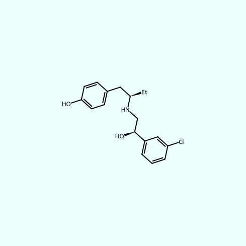 CC[C@H](Cc1ccc(O)cc1)NC[C@H](O)c1cccc(Cl)c1